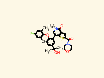 Cc1cc(F)cc(C)c1Oc1ccc(C(C)(C)O)cc1-c1cn(C)c(=O)c2cc(C(=O)N3CCOCC3)sc12